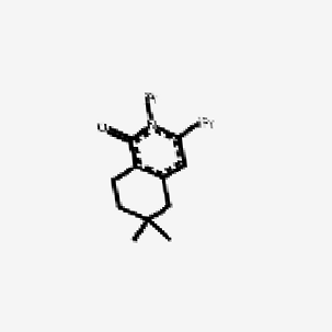 CC(C)c1cc2c(c(=O)n1C(C)C)CCC(C)(C)C2